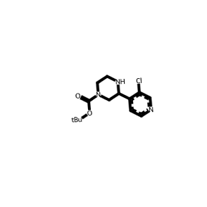 CC(C)(C)OC(=O)N1CCNC(c2ccncc2Cl)C1